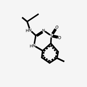 Cc1ccc2c(c1)S(=O)(=O)N=C(NC(C)C)N2